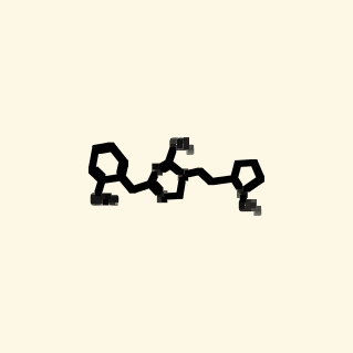 COc1ccccc1CC1=NCN(CCC2CCCN2C)C(C(Cl)(Cl)Cl)=N1